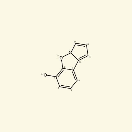 [O]c1cccc2c1OC1C=CC=C21